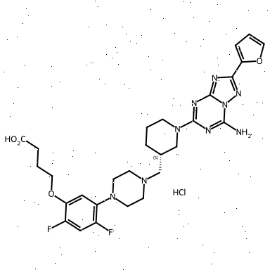 Cl.Nc1nc(N2CCC[C@@H](CN3CCN(c4cc(OCCCC(=O)O)c(F)cc4F)CC3)C2)nc2nc(-c3ccco3)nn12